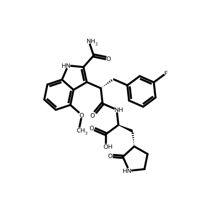 COc1cccc2[nH]c(C(N)=O)c([C@H](Cc3cccc(F)c3)C(=O)N[C@@H](C[C@@H]3CCNC3=O)C(=O)O)c12